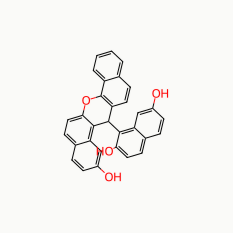 Oc1ccc2ccc(O)c(C3c4ccc5ccccc5c4Oc4ccc5ccc(O)cc5c43)c2c1